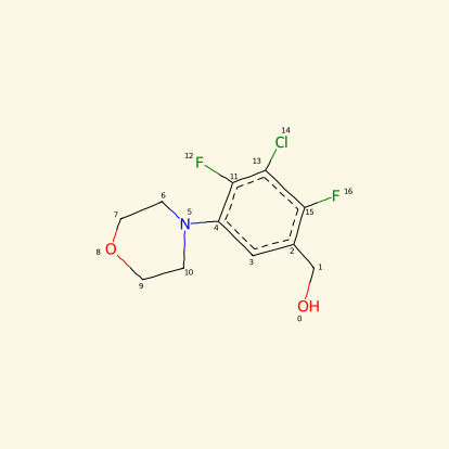 OCc1cc(N2CCOCC2)c(F)c(Cl)c1F